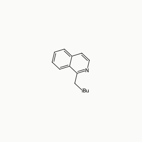 CCC(C)Cc1nccc2ccccc12